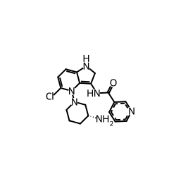 N[C@@H]1CCCN(N2C(Cl)=CC=C3NCC(NC(=O)c4cccnc4)=C32)C1